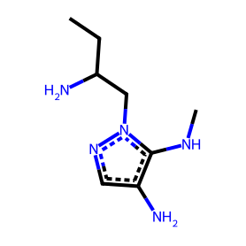 CCC(N)Cn1ncc(N)c1NC